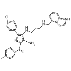 Cc1ccc(C(=O)c2nn(-c3ccc(Cl)cc3)c(NCCCNCc3cccc4[nH]ccc34)c2N)cc1